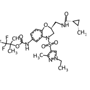 CCn1cc(S(=O)(=O)N2C[C@H](CNC(=O)[C@@H]3C[C@@H]3C)Oc3ccc(NC(=O)OC(C)(C)C(F)(F)F)cc32)c(C)n1